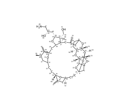 C=C1C[C@@H]2CC[C@@]34CC5O[C@H]6[C@@H](O3)[C@H]3OC(CC[C@@H]3O[C@H]6C5O4)CC(=O)C[C@H]3C(C[C@H]4OC(CC[C@@H]1O2)C[C@@H](C)C4=C)O[C@H](C[C@H](O)CN)[C@@H]3CO